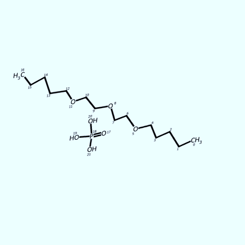 CCCCCOCCOCCOCCCCC.O=P(O)(O)O